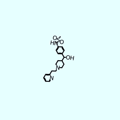 CS(=O)(=O)Nc1ccc(C(O)C2CCN(CCc3ccccn3)CC2)cc1